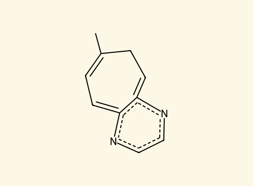 CC1=CC=c2nccnc2=CC1